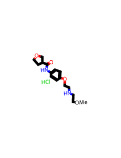 COCCNCCOc1ccc(NC(=O)C2CCOC2)cc1.Cl